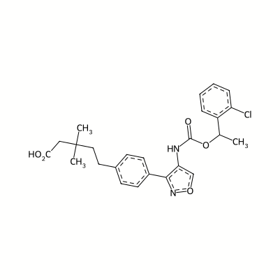 CC(OC(=O)Nc1conc1-c1ccc(CCC(C)(C)CC(=O)O)cc1)c1ccccc1Cl